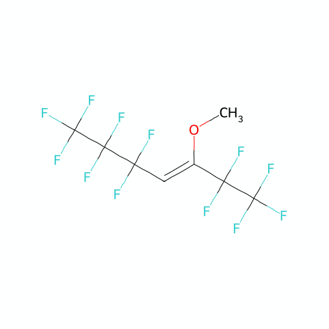 COC(=CC(F)(F)C(F)(F)C(F)(F)F)C(F)(F)C(F)(F)F